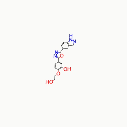 OCCOc1ccc(-c2nnc(-c3ccc4[nH]ncc4c3)o2)cc1O